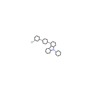 Clc1cccc(-c2ccc(-c3cccc4c3c3ccccc3n4-c3ccccc3)cc2)c1